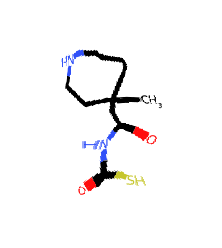 CC1(C(=O)NC(=O)S)CCNCC1